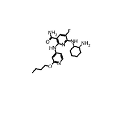 CCCCOc1cc(Nc2nc(N[C@@H]3CCCC[C@@H]3N)c(F)cc2C(N)=O)ccn1